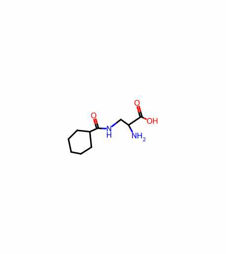 NC(CNC(=O)C1CCCCC1)C(=O)O